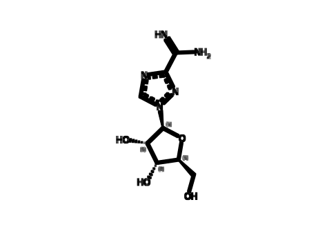 N=C(N)c1ncn([C@H]2O[C@@H](CO)[C@H](O)[C@@H]2O)n1